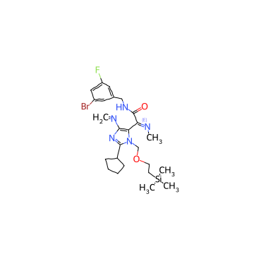 C=Nc1nc(C2CCCC2)n(COCC[Si](C)(C)C)c1/C(=N\C)C(=O)NCc1cc(F)cc(Br)c1